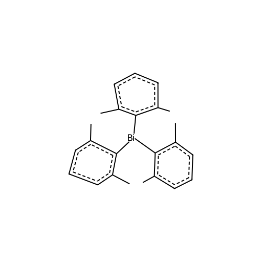 Cc1cccc(C)[c]1[Bi]([c]1c(C)cccc1C)[c]1c(C)cccc1C